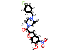 COc1cc2oc(C(=O)N3C[C@H](C)N(Cc4ccc(F)cc4)C[C@H]3C)cc2cc1[N+](=O)[O-]